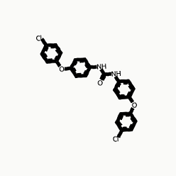 O=C(Nc1ccc(Oc2ccc(Cl)cc2)cc1)Nc1ccc(Oc2ccc(Cl)cc2)cc1